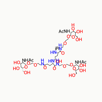 CC(=O)N[C@H]1[C@H](OCCOCCNC(=O)CCC(NC(O)CCC(NC(C)C)C(=O)NCCOCCO[C@@H]2O[C@H](CO)[C@H](O)[C@H](O)[C@H]2NC(C)=O)C(=O)NCCOCCO[C@@H]2O[C@H](CO)[C@H](O)[C@H](O)[C@H]2NC(C)=O)O[C@H](CO)[C@H](O)[C@@H]1O